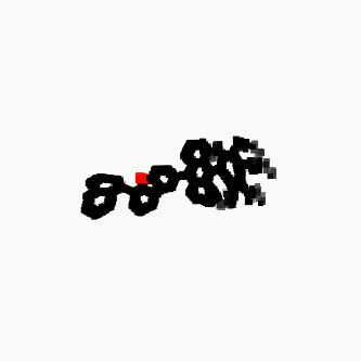 Bc1c(B)c(B)c(-c2c3ccccc3c(-c3ccc4oc5c(-c6cccc7ccccc67)cccc5c4c3)c3ccccc23)c(B)c1B